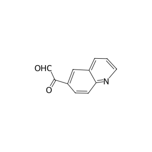 O=CC(=O)c1ccc2ncccc2c1